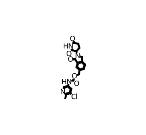 Cc1ncc(NC(=O)OCc2ccc3c(c2)C(=O)N(C2CCC(=O)NC2=O)C3)cc1Cl